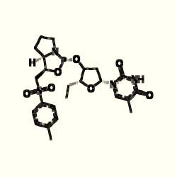 CC[C@H]1O[C@@H](n2cc(C)c(=O)[nH]c2=O)CC1O[P@]1O[C@@H](CS(=O)(=O)c2ccc(C)cc2)[C@H]2CCCN21